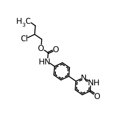 CCC(Cl)COC(=O)Nc1ccc(-c2ccc(=O)[nH]n2)cc1